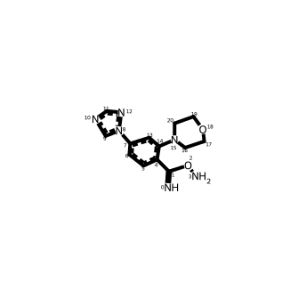 N=C(ON)c1ccc(-n2cncn2)cc1N1CCOCC1